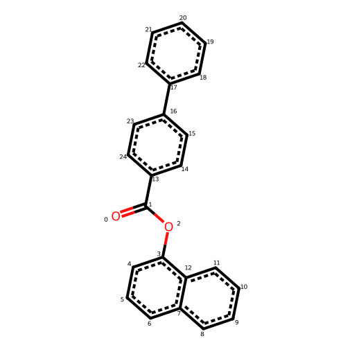 O=C(Oc1cccc2ccccc12)c1ccc(-c2ccccc2)cc1